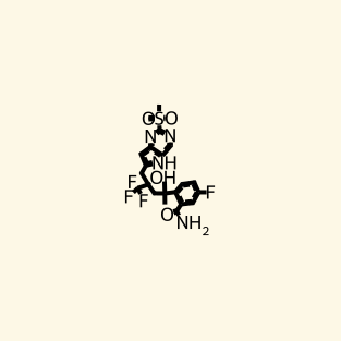 CC(C)(C[C@@](O)(Cc1cc2nc(S(C)(=O)=O)ncc2[nH]1)C(F)(F)F)c1ccc(F)cc1C(N)=O